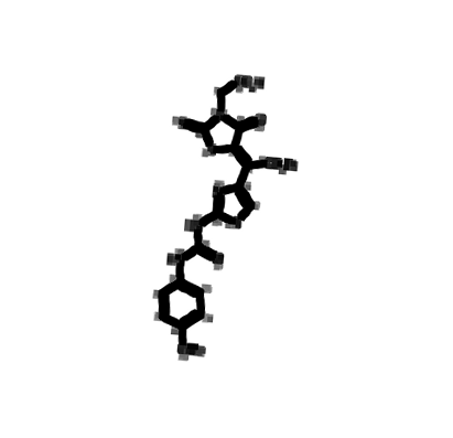 CCOC(=O)C(=C1SC(=S)N(CC(=O)O)C1=O)c1csc(NC(=O)Nc2ccc(OC)cc2)n1